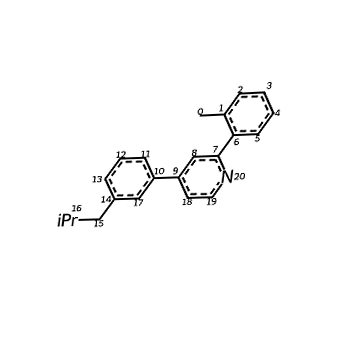 Cc1ccccc1-c1cc(-c2cccc(CC(C)C)c2)ccn1